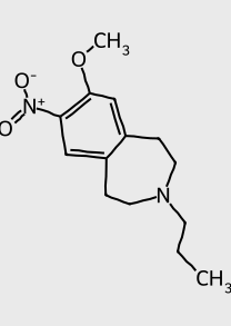 CCCN1CCc2cc(OC)c([N+](=O)[O-])cc2CC1